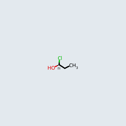 CC[C@@H](O)Cl